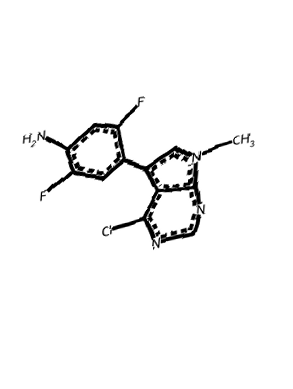 Cn1cc(-c2cc(F)c(N)cc2F)c2c(Cl)ncnc21